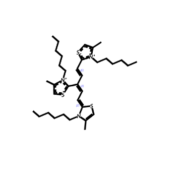 CCCCCCN1C(C)=CS\C1=C/C=C(/C=C/c1scc(C)[n+]1CCCCCC)c1scc(C)[n+]1CCCCCC